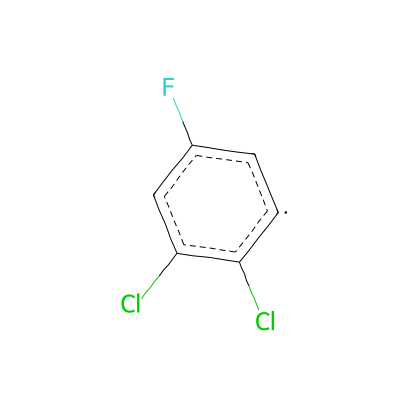 Fc1c[c]c(Cl)c(Cl)c1